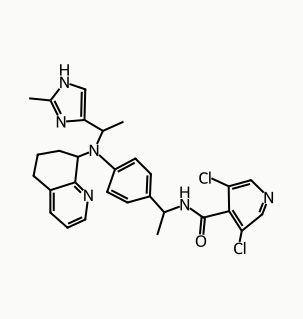 Cc1nc(C(C)N(c2ccc(C(C)NC(=O)c3c(Cl)cncc3Cl)cc2)C2CCCc3cccnc32)c[nH]1